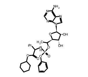 CC(C)C(NP(=O)(Oc1ccccc1)OC(C)[C@H]1O[C@@H](n2cnc3c(N)ncnc32)[C@H](O)[C@@H]1O)C(=O)OC1CCCCC1